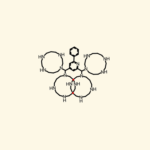 c1ccc(-c2cc(C(N3CCCNCCNCCCNCC3)N3CCCNCCNCCCNCC3)cc(C(N3CCCNCCNCCCNCC3)N3CCCNCCNCCCNCC3)n2)cc1